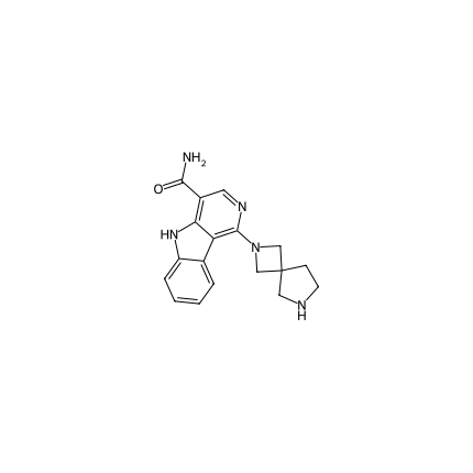 NC(=O)c1cnc(N2CC3(CCNC3)C2)c2c1[nH]c1ccccc12